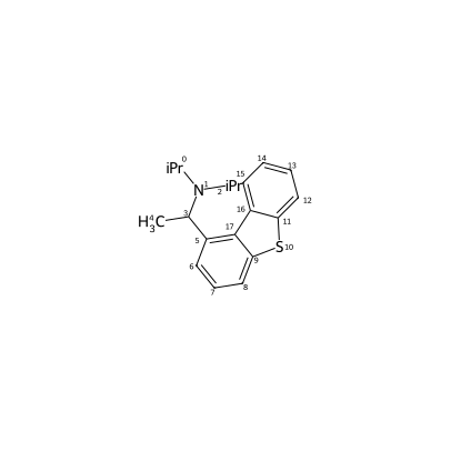 CC(C)N(C(C)C)C(C)c1cccc2sc3ccccc3c12